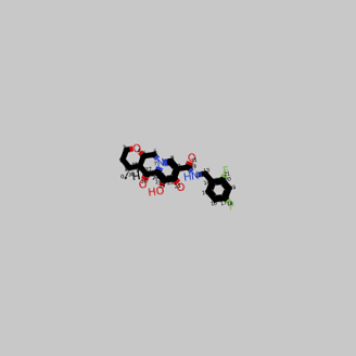 C[C@@H]1CCOC2Cn3cc(C(=O)NCc4ccc(F)cc4F)c(=O)c(O)c3C(=O)[C@H]21